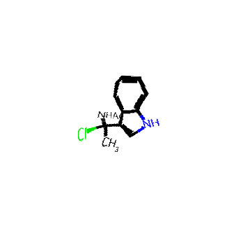 CC(=O)NC(C)(Cl)c1c[nH]c2ccccc12